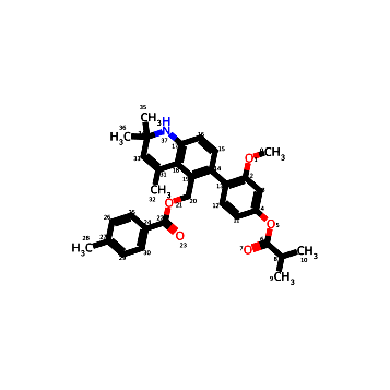 COc1cc(OC(=O)C(C)C)ccc1-c1ccc2c(c1COC(=O)c1ccc(C)cc1)C(C)=CC(C)(C)N2